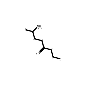 CCCC(=O)CCC(C)N